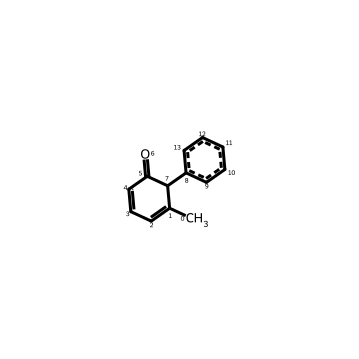 CC1=CC=[C]C(=O)C1c1ccccc1